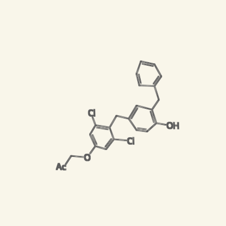 CC(=O)COc1cc(Cl)c(Cc2ccc(O)c(Cc3ccccc3)c2)c(Cl)c1